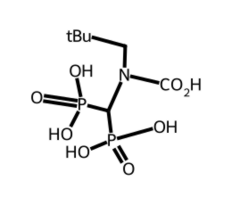 CC(C)(C)CN(C(=O)O)C(P(=O)(O)O)P(=O)(O)O